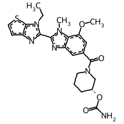 CCn1c(-c2nc3cc(C(=O)N4CCC[C@@H](OC(N)=O)C4)cc(OC)c3n2C)nc2ccsc21